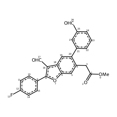 COC(=O)Cc1cc2oc(-c3ccc(F)cc3)c(C=O)c2cc1-c1cccc(C=O)c1